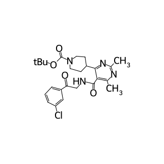 Cc1nc(C)c(C(=O)NCC(=O)c2cccc(Cl)c2)c(C2CCN(C(=O)OC(C)(C)C)CC2)n1